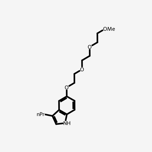 CCCc1c[nH]c2ccc(OCCOCCOCCOC)cc12